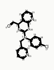 O=CC1N=C(N(Cc2cccnc2)c2ccc(Cl)cc2)Sc2ncccc21